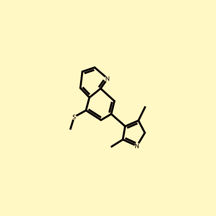 CSc1cc(C2=C(C)CN=C2C)cc2ncccc12